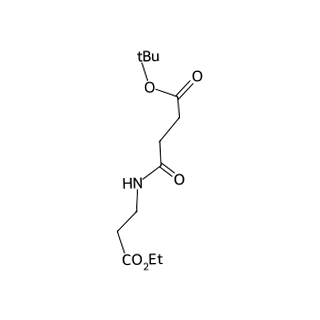 CCOC(=O)CCNC(=O)CCC(=O)OC(C)(C)C